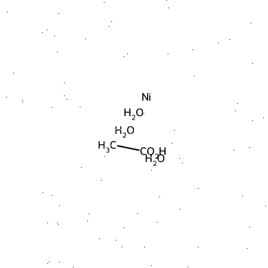 CC(=O)O.O.O.O.[Ni]